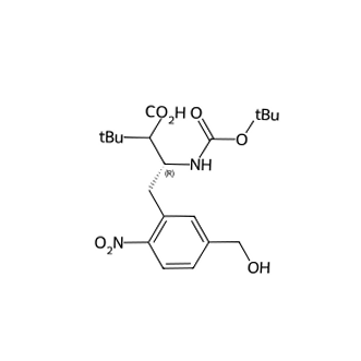 CC(C)(C)OC(=O)N[C@H](Cc1cc(CO)ccc1[N+](=O)[O-])C(C(=O)O)C(C)(C)C